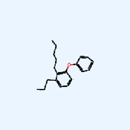 CCCCCc1c(Oc2ccccc2)[c]ccc1CCC